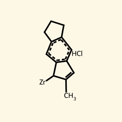 CC1=Cc2cc3c(cc2[CH]1[Zr])CCC3.Cl